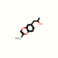 CC(O)Cc1ccc2c(c1)OC=C(C(=O)O)O2